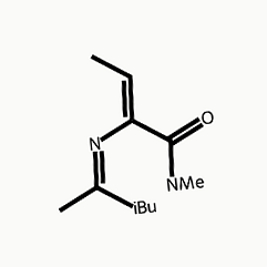 C/C=C(\N=C(\C)C(C)CC)C(=O)NC